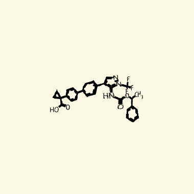 CC(OC(=O)Nc1c(-c2ccc(-c3ccc(C4(C(=O)O)CC4)cc3)cc2)cnn1C(F)(F)F)c1ccccc1